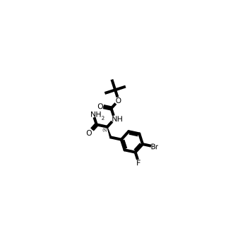 CC(C)(C)OC(=O)N[C@@H](Cc1ccc(Br)c(F)c1)C(N)=O